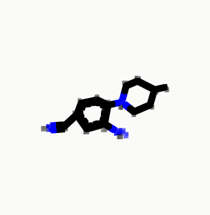 CC1CCN(c2ccc(C#N)cc2N)CC1